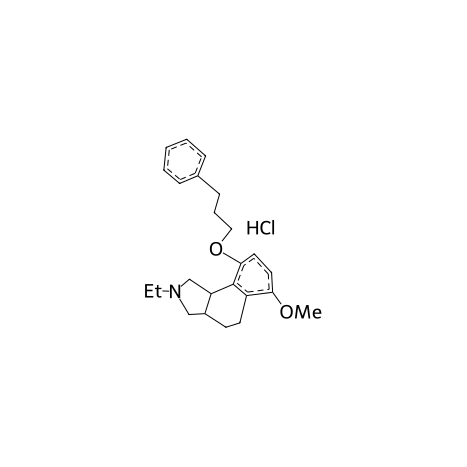 CCN1CC2CCc3c(OC)ccc(OCCCc4ccccc4)c3C2C1.Cl